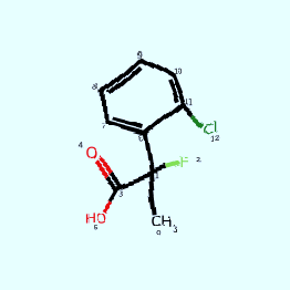 CC(F)(C(=O)O)c1ccccc1Cl